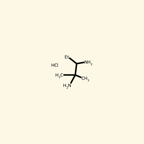 CCC(N)C(C)(C)N.Cl